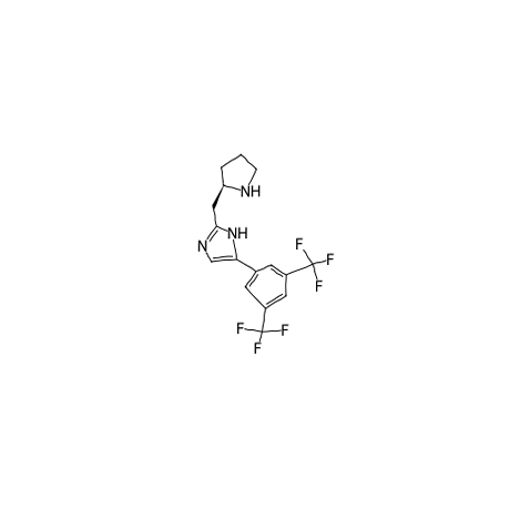 FC(F)(F)c1cc(-c2cnc(C[C@H]3CCCN3)[nH]2)cc(C(F)(F)F)c1